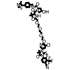 Cc1ncsc1-c1ccc(CNC(=O)[C@@H]2C[C@@H](O)CN2C(=O)[C@@H](NC(=O)COCCOCCOCCOc2ncc(N3C(=S)N(c4ccc(C#N)c(C(F)(F)F)c4F)C(=O)C3(C)C)cc2Cl)C(C)(C)C)cc1